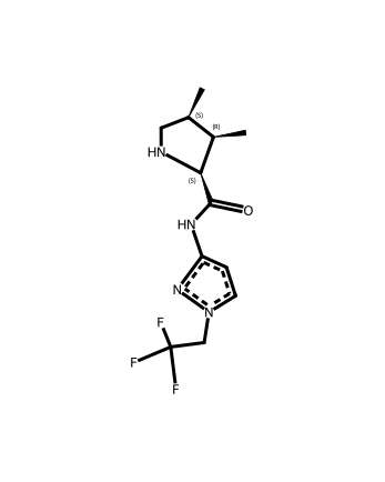 C[C@@H]1[C@H](C)CN[C@@H]1C(=O)Nc1ccn(CC(F)(F)F)n1